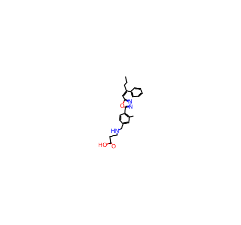 CCCC(=Cc1nnc(-c2ccc(CNCCC(=O)O)cc2C)o1)c1ccccc1